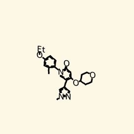 CCOc1ccc(-n2cc(-c3cnn(C)c3)c(OC3CCOCC3)cc2=O)c(C)c1